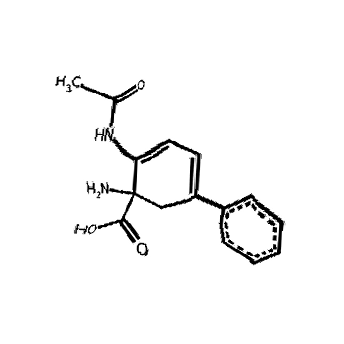 CC(=O)NC1=CC=C(c2ccccc2)CC1(N)C(=O)O